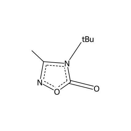 Cc1noc(=O)n1C(C)(C)C